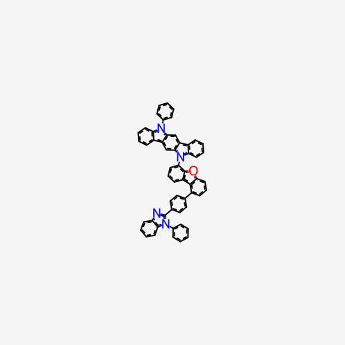 c1ccc(-n2c(-c3ccc(-c4cccc5oc6c(-n7c8ccccc8c8cc9c(cc87)c7ccccc7n9-c7ccccc7)cccc6c45)cc3)nc3ccccc32)cc1